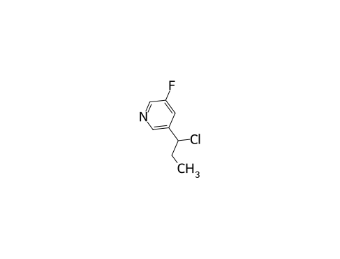 CCC(Cl)c1cncc(F)c1